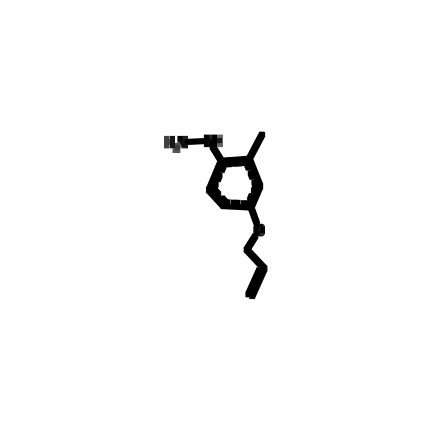 C=CCOc1ccc(NN)c(C)c1